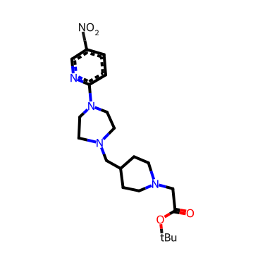 CC(C)(C)OC(=O)CN1CCC(CN2CCN(c3ccc([N+](=O)[O-])cn3)CC2)CC1